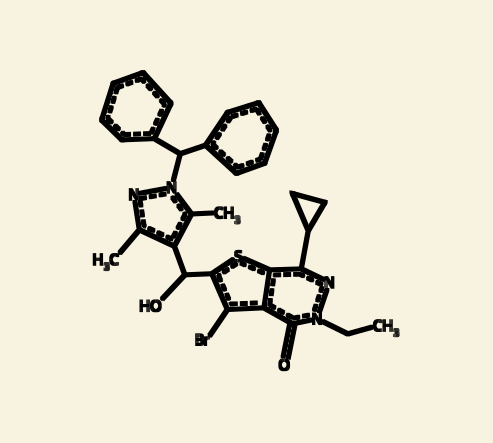 CCn1nc(C2CC2)c2sc(C(O)c3c(C)nn(C(c4ccccc4)c4ccccc4)c3C)c(Br)c2c1=O